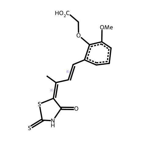 COc1cccc(/C=C/C(C)=C2/SC(=S)NC2=O)c1OCC(=O)O